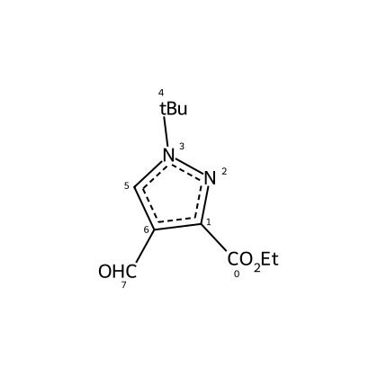 CCOC(=O)c1nn(C(C)(C)C)cc1C=O